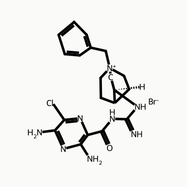 N=C(NC(=O)c1nc(Cl)c(N)nc1N)N[C@@H]1C[N+]2(Cc3ccccc3)CCC1CC2.[Br-]